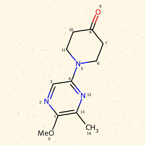 COc1ncc(N2CCC(=O)CC2)nc1C